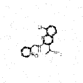 CC(N)c1cc2cccc(Cl)c2nc1NCc1cccc[n+]1[O-]